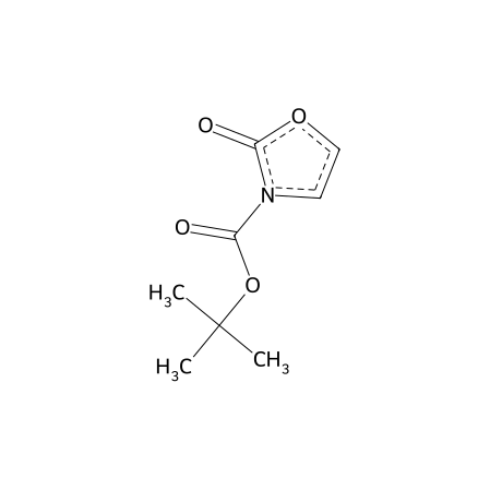 CC(C)(C)OC(=O)n1ccoc1=O